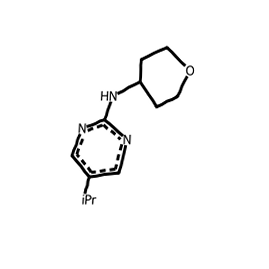 CC(C)c1cnc(NC2CCOCC2)nc1